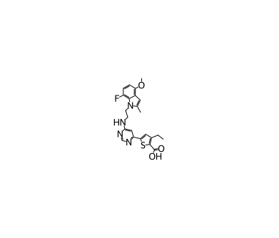 CCc1cc(-c2cc(NCCn3c(C)cc4c(OC)ccc(F)c43)ncn2)sc1C(=O)O